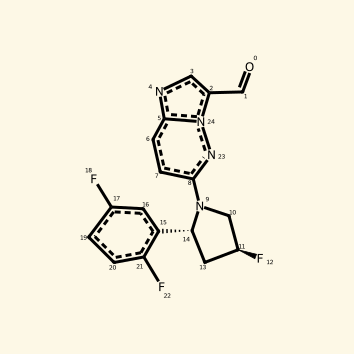 O=Cc1cnc2ccc(N3C[C@@H](F)C[C@@H]3c3cc(F)ccc3F)nn12